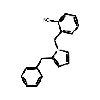 N#Cc1ccccc1Cn1cccc1Cc1ccccc1